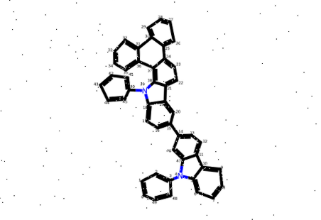 c1ccc(-n2c3ccccc3c3ccc(-c4ccc5c(c4)c4ccc6c7ccccc7c7ccccc7c6c4n5-c4ccccc4)cc32)cc1